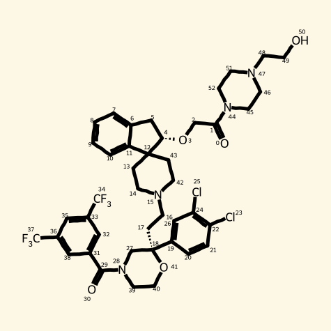 O=C(CO[C@H]1Cc2ccccc2C12CCN(CC[C@@]1(c3ccc(Cl)c(Cl)c3)CN(C(=O)c3cc(C(F)(F)F)cc(C(F)(F)F)c3)CCO1)CC2)N1CCN(CCO)CC1